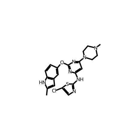 Cc1cc2cc(Oc3nc(Nc4ncc(Cl)s4)cc(N4CCN(C)CC4)n3)ccc2[nH]1